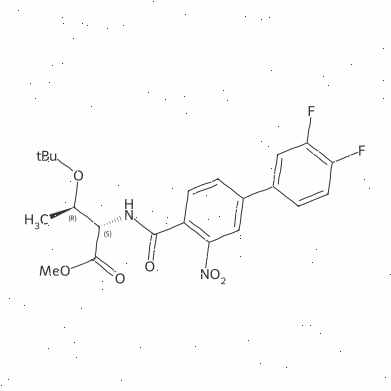 COC(=O)[C@@H](NC(=O)c1ccc(-c2ccc(F)c(F)c2)cc1[N+](=O)[O-])[C@@H](C)OC(C)(C)C